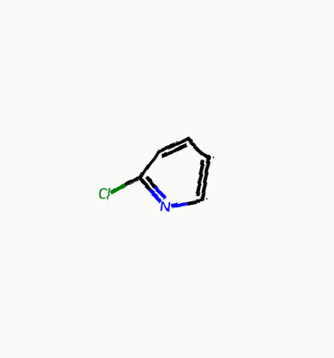 Clc1cc[c][c]n1